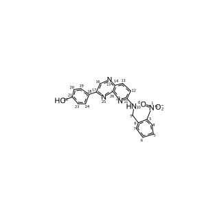 O=[N+]([O-])c1ccccc1CNc1ccc2ncc(-c3ccc(O)cc3)nc2n1